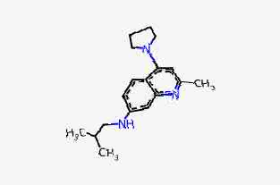 Cc1cc(N2CCCC2)c2ccc(NCC(C)C)cc2n1